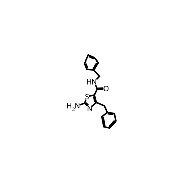 Nc1nc(Cc2ccccc2)c(C(=O)NCc2ccccc2)s1